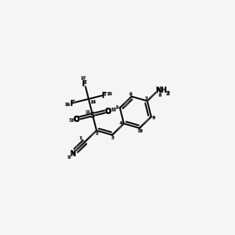 N#CC(=Cc1ccc(N)cc1)S(=O)(=O)C(F)(F)F